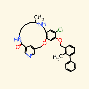 Cc1c(COc2cc3c(cc2Cl)CNC(C)CCCCNC(=O)c2cncc(c2)CO3)cccc1-c1ccccc1